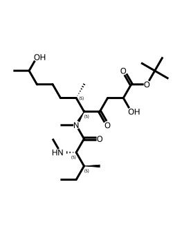 CC[C@H](C)[C@H](NC)C(=O)N(C)[C@H](C(=O)CC(O)C(=O)OC(C)(C)C)[C@@H](C)CCCC(C)O